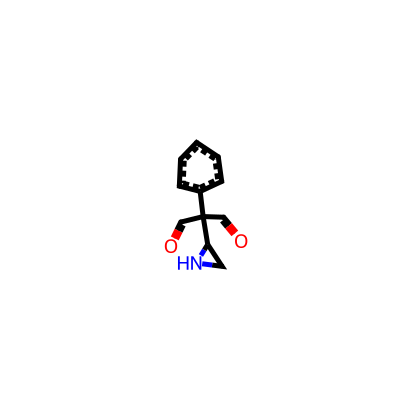 O=CC(C=O)(c1ccccc1)C1CN1